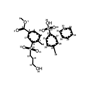 COC(=O)c1ccc(C)c(S(=O)(=O)CCCO)c1.Cc1ccc(S(=O)(=O)O)cc1.c1ccncc1